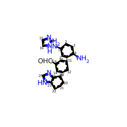 Nc1ccc(N)cc1.O=Cc1ccccc1.c1c[nH]cn1.c1ccc2[nH]cnc2c1